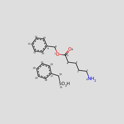 NCCCCC(=O)OCc1ccccc1.O=S(=O)(O)Cc1ccccc1